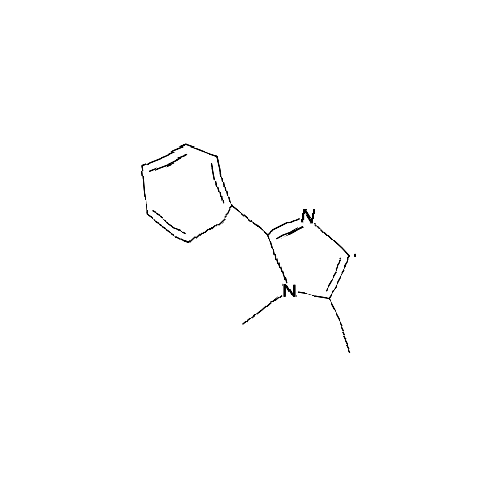 Cc1[c]nc(-c2ccccc2)n1C